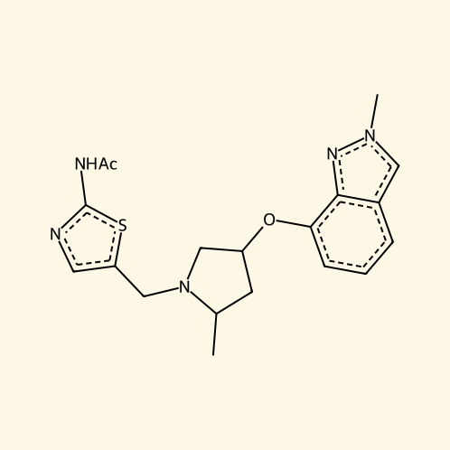 CC(=O)Nc1ncc(CN2CC(Oc3cccc4cn(C)nc34)CC2C)s1